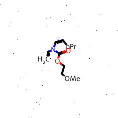 C=CN(/C=C\CCC)C(=O)OCCOC